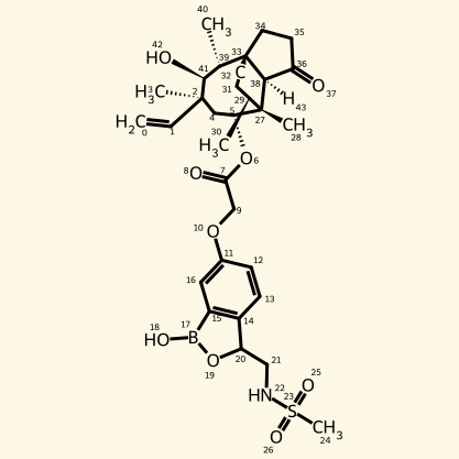 C=C[C@]1(C)C[C@@H](OC(=O)COc2ccc3c(c2)B(O)OC3CNS(C)(=O)=O)[C@]2(C)[C@H](C)CC[C@]3(CCC(=O)[C@H]32)[C@@H](C)[C@@H]1O